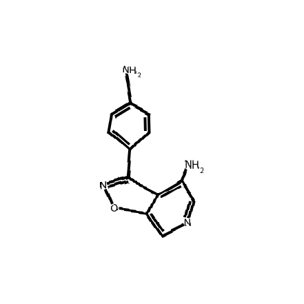 Nc1ccc(-c2noc3cncc(N)c23)cc1